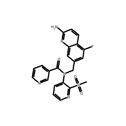 CS(=O)(=O)c1ncccc1N(Cc1cc(F)c2ccc(N)nc2c1)C(=O)c1cccnc1